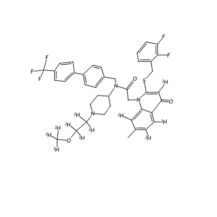 [2H]c1c(C)c([2H])c2c(c1[2H])c(=O)c([2H])c(SCc1cccc(F)c1F)n2CC(=O)N(Cc1ccc(-c2ccc(C(F)(F)F)cc2)cc1)C1CCN(C([2H])([2H])C([2H])([2H])OC([2H])([2H])[2H])CC1